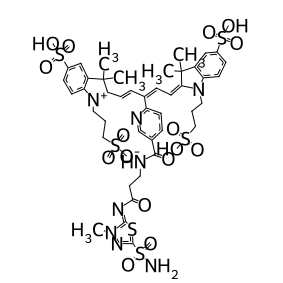 Cn1nc(S(N)(=O)=O)sc1=NC(=O)CCNC(=O)c1ccc(C(C=CC2=[N+](CCCS(=O)(=O)[O-])c3ccc(S(=O)(=O)O)cc3C2(C)C)=CC=C2N(CCCS(=O)(=O)O)c3ccc(S(=O)(=O)O)cc3C2(C)C)nc1